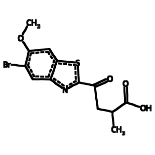 COc1cc2sc(C(=O)CC(C)C(=O)O)nc2cc1Br